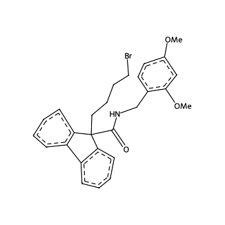 COc1ccc(CNC(=O)C2(CCCCBr)c3ccccc3-c3ccccc32)c(OC)c1